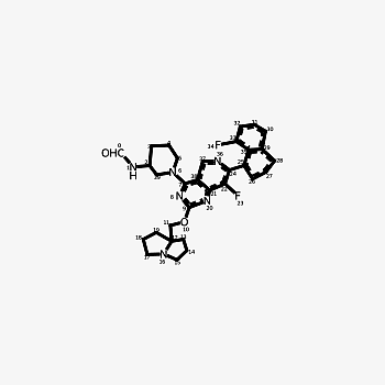 O=CNC1CCCN(c2nc(OCC34CCCN3CCC4)nc3c(F)c(-c4cccc5cccc(F)c45)ncc23)C1